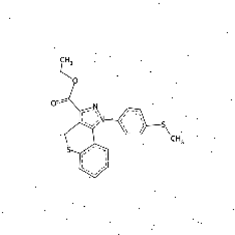 CCOC(=O)c1nn(-c2ccc(SC)cc2)c2c1CSc1ccccc1-2